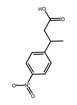 CC(CC(=O)O)c1ccc([N+](=O)[O-])cc1